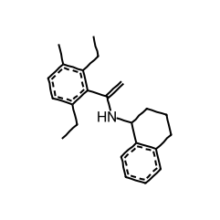 C=C(NC1CCCc2ccccc21)c1c(CC)ccc(C)c1CC